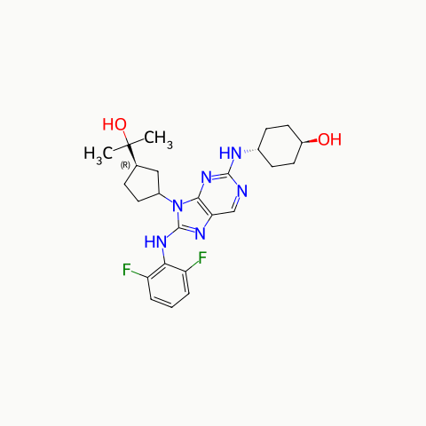 CC(C)(O)[C@@H]1CCC(n2c(Nc3c(F)cccc3F)nc3cnc(N[C@H]4CC[C@H](O)CC4)nc32)C1